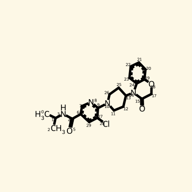 CC(C)NC(=O)c1cnc(N2CCC(N3C(=O)COc4ccccc43)CC2)c(Cl)c1